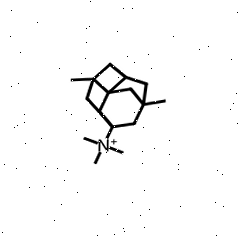 CC12CC3CC4(C)CC([N+](C)(C)C)(C1)CC34C2